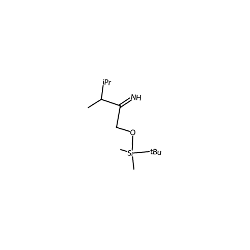 CC(C)C(C)C(=N)CO[Si](C)(C)C(C)(C)C